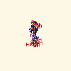 O=C(CN1CCN2CCN3CCN(CC1)CC(=O)ON(OC(=O)C2)OC(=O)C3)NCC1OC(O)C(O)C(O)C1O